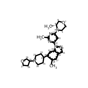 Cc1nc(N2CCOC[C@H]2C)cc(-n2ncc3cc(C)c(C4CCN(C5CCOC5)CC4)cc32)n1